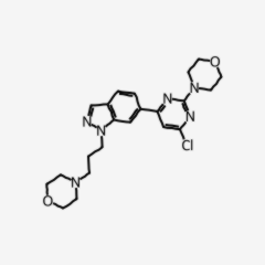 Clc1cc(-c2ccc3cnn(CCCN4CCOCC4)c3c2)nc(N2CCOCC2)n1